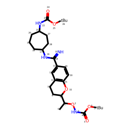 CC(ONC(=O)OC(C)(C)C)C1CCc2cc(C(=N)NC3CCCC(NC(=O)OC(C)(C)C)CC3)ccc2O1